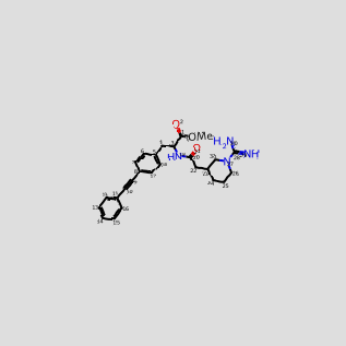 COC(=O)C(Cc1ccc(C#Cc2ccccc2)cc1)NC(=O)CC1CCCN(C(=N)N)C1